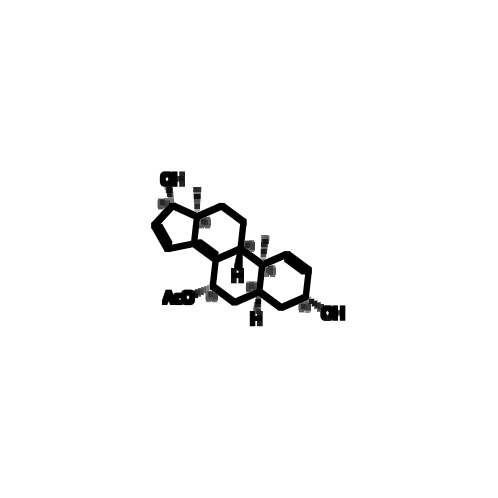 CC(=O)O[C@H]1C[C@@H]2C[C@@H](O)C=C[C@]2(C)[C@H]2CC[C@@]3(C)C(=C12)C=C[C@@H]3O